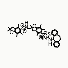 Cc1c(C)c(S(=O)(=O)NCC2(C)Cc3c(C)c(S(=O)(=O)NC(=S)NC4c5ccccc5CCc5ccccc54)c(C)c(C)c3O2)c(C)c2c1OC(C)(C)C2